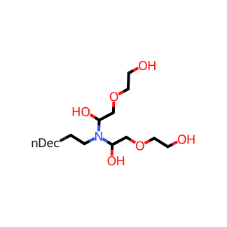 CCCCCCCCCCCCN(C(O)COCCO)C(O)COCCO